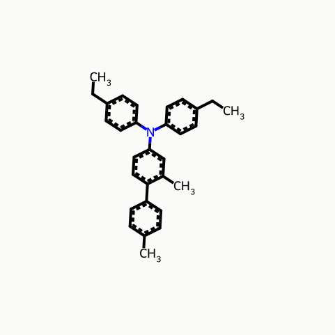 CCc1ccc(N(c2ccc(CC)cc2)c2ccc(-c3ccc(C)cc3)c(C)c2)cc1